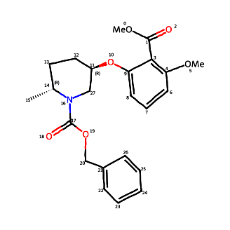 COC(=O)c1c(OC)cccc1O[C@@H]1CC[C@@H](C)N(C(=O)OCc2ccccc2)C1